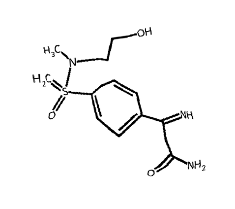 C=S(=O)(c1ccc(C(=N)C(N)=O)cc1)N(C)CCO